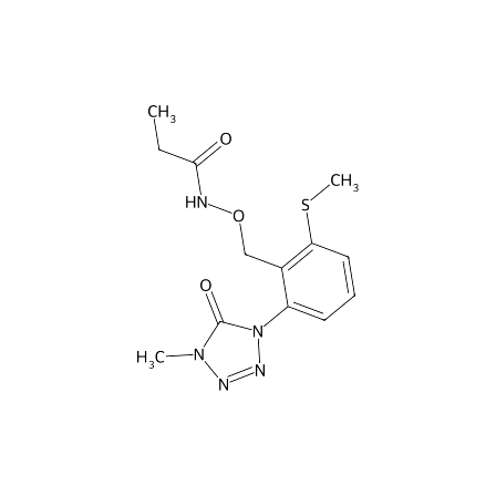 CCC(=O)NOCc1c(SC)cccc1-n1nnn(C)c1=O